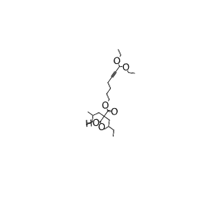 CCOC(C#CCCCCOC(=O)C(CC(C)CC)(CC(C)CC)C(=O)O)OCC